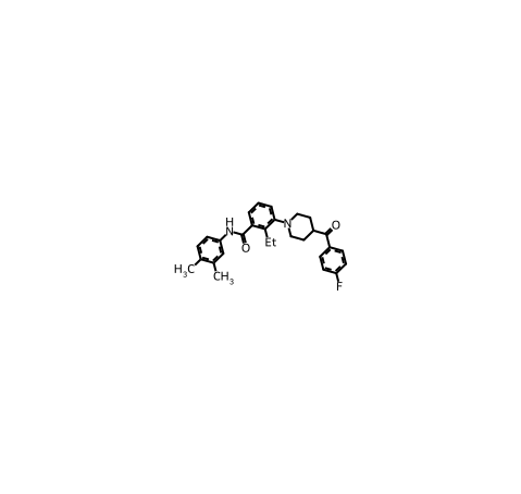 CCc1c(C(=O)Nc2ccc(C)c(C)c2)cccc1N1CCC(C(=O)c2ccc(F)cc2)CC1